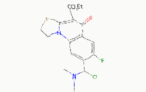 CCOC(=O)c1c2n(c3cc(C(Cl)N(C)C)c(F)cc3c1=O)CCS2